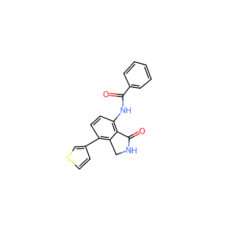 O=C(Nc1ccc(-c2ccsc2)c2c1C(=O)NC2)c1ccccc1